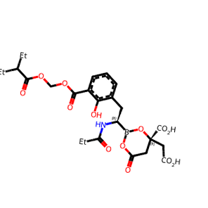 CCC(=O)N[C@@H](Cc1cccc(C(=O)OCOC(=O)C(CC)CC)c1O)B1OC(=O)C[C@](CC(=O)O)(C(=O)O)O1